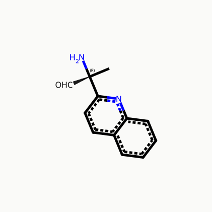 C[C@](N)(C=O)c1ccc2ccccc2n1